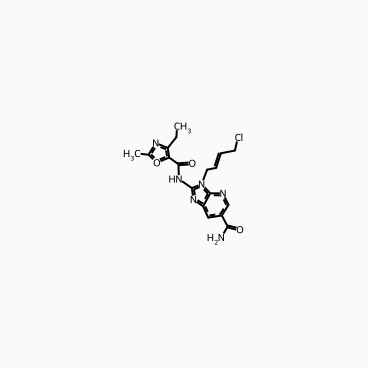 CCc1nc(C)oc1C(=O)Nc1nc2cc(C(N)=O)cnc2n1C/C=C/CCl